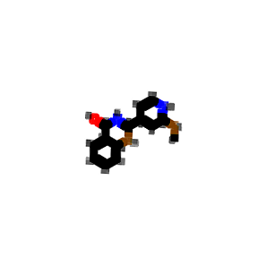 CSc1cc(-c2nc(=O)c3ccccc3s2)ccn1